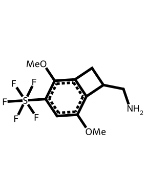 COc1cc(S(F)(F)(F)(F)F)c(OC)c2c1C(CN)C2